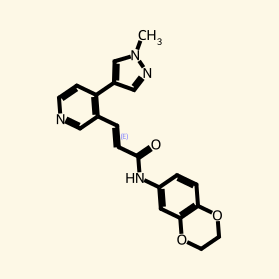 Cn1cc(-c2ccncc2/C=C/C(=O)Nc2ccc3c(c2)OCCO3)cn1